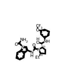 CC[C@@H]1CC[C@@H](C(O)Nc2cccc(OC(F)(F)F)c2)N1C(=O)Nc1cn(C(N)=O)c2ccccc12